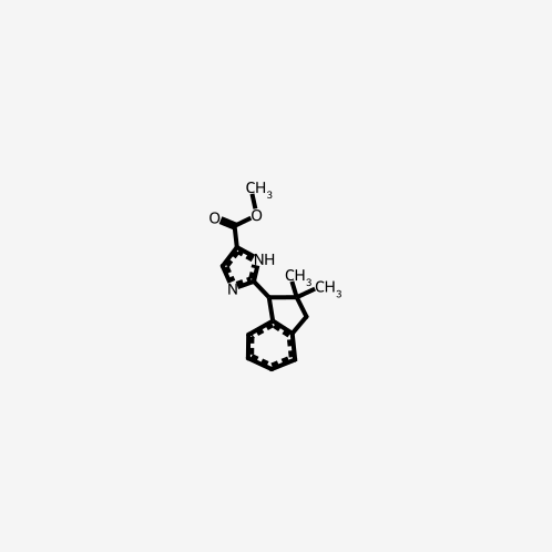 COC(=O)c1cnc(C2c3ccccc3CC2(C)C)[nH]1